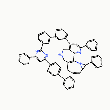 C1=CC2C(c3ccccc3)N2C2=C(C1)CNCc1c(-c3cccc(-c4cccc(-c5nc(-c6ccccc6)cc(-c6ccc(-c7ccccc7)cc6)n5)c4)c3)cc(-c3ccccc3)nc12